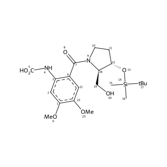 COc1cc(NC(=O)O)c(C(=O)N2CC[C@H](O[Si](C)(C)C(C)(C)C)[C@H]2CO)cc1OC